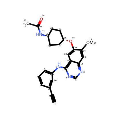 C#Cc1cccc(Nc2ncnc3cc(OC)c(O[C@H]4CC[C@H](NC(=O)C(F)(F)F)CC4)cc23)c1